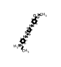 CCCN(C)c1ccc(N=Nc2nc3sc(N=Nc4ccc(C(=O)OCC)cc4)cc3s2)cc1